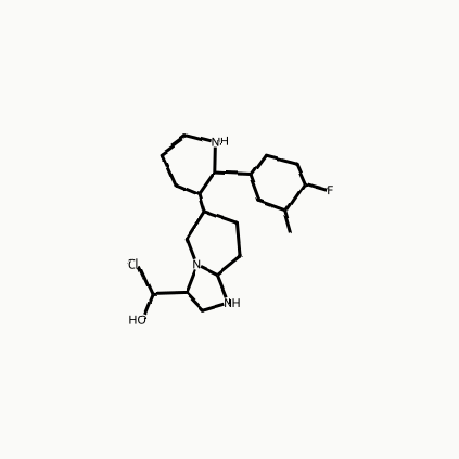 CC1CC(C2NCCCC2C2CCC3NCC(C(O)Cl)N3C2)CCC1F